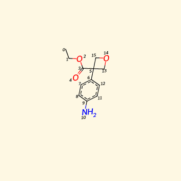 CCOC(=O)C1(c2ccc(N)cc2)COC1